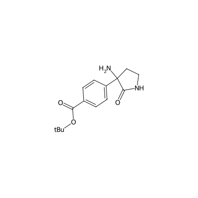 CC(C)(C)OC(=O)c1ccc(C2(N)CCNC2=O)cc1